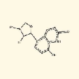 CCC1C(c2ccc(O)c3[nH]c(=O)ccc23)OCN1CC